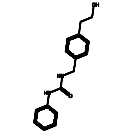 O=C(NCc1ccc(CCO)cc1)Nc1ccccc1